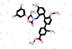 COC(=O)c1ccc(-c2ccc(OC)c(-c3ccc(C)cc3CN3C(=O)O[C@H](c4cc(Cl)cc(Cl)c4)[C@@H]3C)c2)c(C)c1